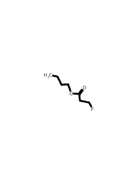 CCCCOC(=O)CCF